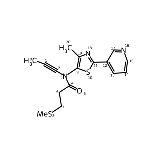 CC#CN(C(=O)CCSC)c1sc(-c2cccnc2)nc1C